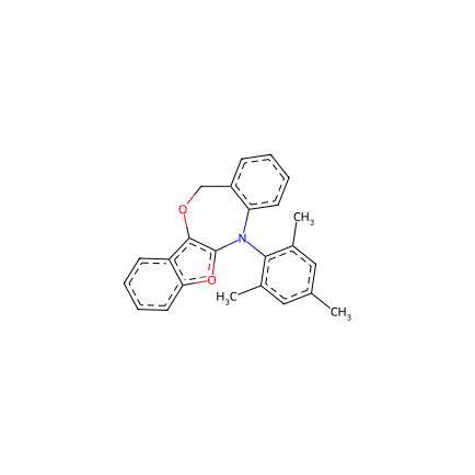 Cc1cc(C)c(N2c3ccccc3COc3c2oc2ccccc32)c(C)c1